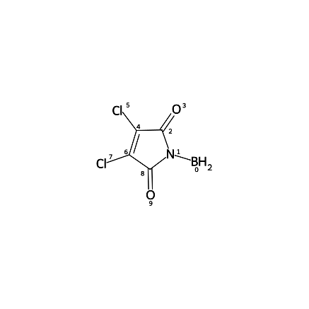 BN1C(=O)C(Cl)=C(Cl)C1=O